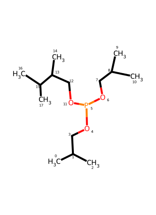 CC(C)COP(OCC(C)C)OCC(C)C(C)C